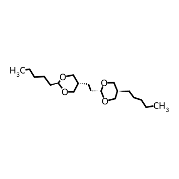 CCCCC[C@H]1CO[C@H](CC[C@H]2CO[C@H](CCCCC)OC2)OC1